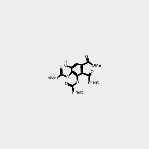 CCCCCC(=O)Oc1c(O)cc(C(=O)OC)c(C(=O)CCCCC)c1OC(=O)CCCCC